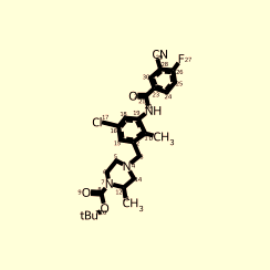 Cc1c(CN2CCN(C(=O)OC(C)(C)C)C(C)C2)cc(Cl)cc1NC(=O)c1ccc(F)c(C#N)c1